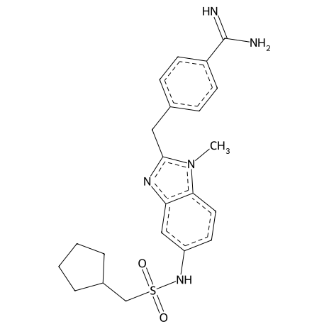 Cn1c(Cc2ccc(C(=N)N)cc2)nc2cc(NS(=O)(=O)CC3CCCC3)ccc21